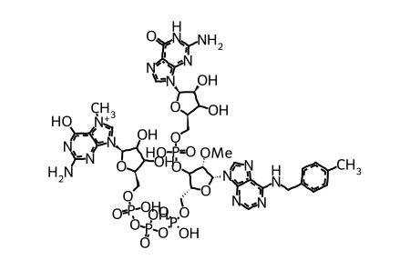 CO[C@H]1C(OP(=O)(O)OC[C@H]2O[C@@H](n3cnc4c(=O)[nH]c(N)nc43)[C@@H](O)C2O)[C@@H](COP(=O)(O)OP(=O)(O)OP(=O)(O)OC[C@H]2O[C@@H](n3c[n+](C)c4c(O)nc(N)nc43)C(O)C2O)O[C@H]1n1cnc2c(NCc3ccc(C)cc3)ncnc21